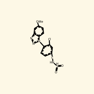 COc1ccc2c(c1)nnn2-c1ccc(CN[SH](=O)=O)cc1Cl